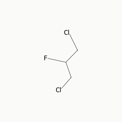 FC(CCl)CCl